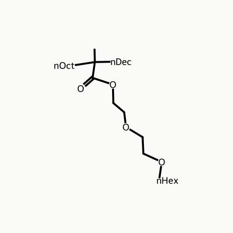 CCCCCCCCCCC(C)(CCCCCCCC)C(=O)OCCOCCOCCCCCC